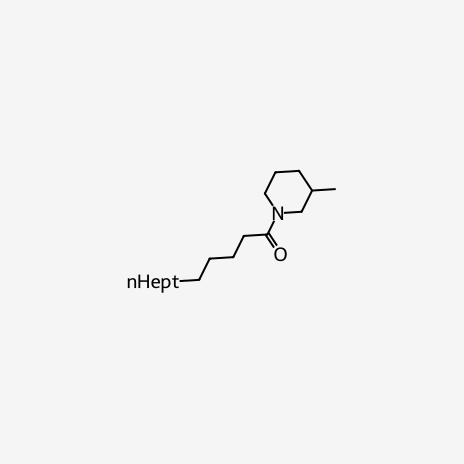 CCCCCCCCCCCC(=O)N1CCCC(C)C1